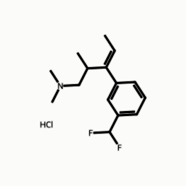 CC=C(c1cccc(C(F)F)c1)C(C)CN(C)C.Cl